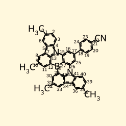 Cc1ccc2c(c1)c1cc(C)cc3c1n2-c1cc(-c2ccc(C#N)cc2)cc2c1B3c1cc(C)cc3c4cc(C)ccc4n-2c13